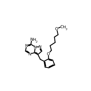 COCCCCCOc1ccccc1Cc1cnn2c(N)ncnc12